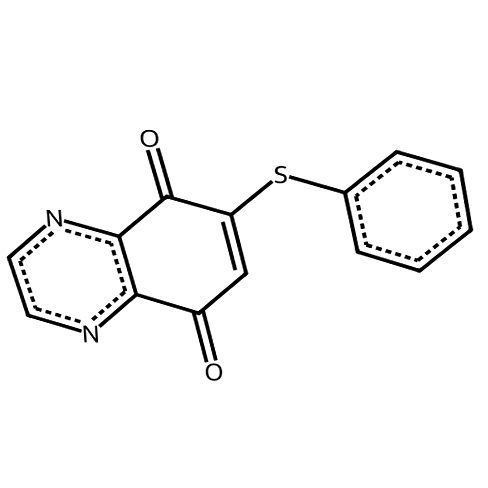 O=C1C=C(Sc2ccccc2)C(=O)c2nccnc21